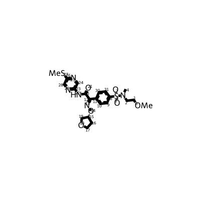 COCCN(C)S(=O)(=O)c1ccc(/C(=N\O[C@@H]2CCOC2)C(=O)Nc2cnc(SC)cn2)cc1